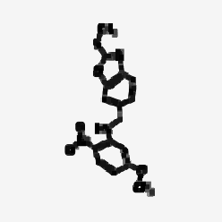 COc1ccc([N+](=O)[O-])c(NCc2ccc3nc(SC)oc3c2)c1